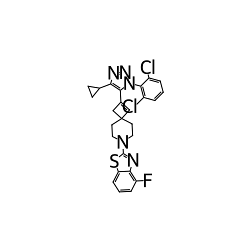 Fc1cccc2sc(N3CCC4(C=C(c5c(C6CC6)nnn5-c5c(Cl)cccc5Cl)C4)CC3)nc12